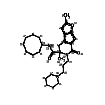 Cc1cc2c(cc3n2CC(C)(C(=O)NC2CCCCCCC2)N(CCCN2CCCCC2)C3=O)o1